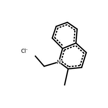 CC[n+]1c(C)ccc2ccccc21.[Cl-]